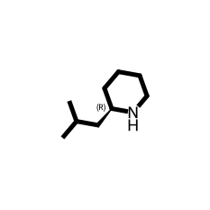 CC(C)C[C@H]1CCCCN1